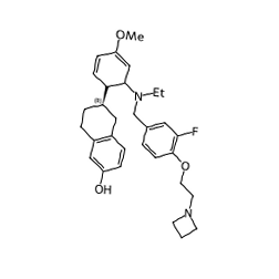 CCN(Cc1ccc(OCCN2CCC2)c(F)c1)C1C=C(OC)C=CC1[C@@H]1CCc2cc(O)ccc2C1